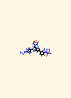 CNC(=O)Nc1cccc(-c2cnc3c(N4CCOCC4)nc(-c4cnc(N)nc4)nc3c2)c1